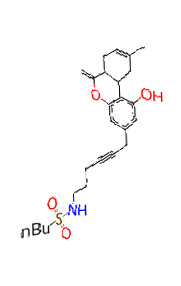 C=C1Oc2cc(CC#CCCCNS(=O)(=O)CCCC)cc(O)c2C2CC(C)=CCC12